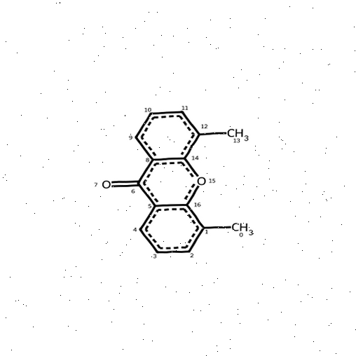 Cc1cccc2c(=O)c3cccc(C)c3oc12